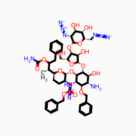 C[C@H](C(Cc1ccccc1)OC(N)=O)[C@@H]1CC[C@H](N=[N+]=[N-])[C@@H](O[C@@H]2[C@@H](NC(=O)OCc3ccccc3)[C@H](OCc3ccccc3)[C@@H](N)[C@H](O)[C@H]2O[C@@H]2O[C@H](CO)[C@@H](O[C@H]3O[C@@H](CN=[N+]=[N-])[C@@H](O)[C@H](O)[C@H]3N=[N+]=[N-])[C@H]2O)O1